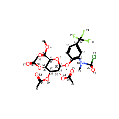 COC(=O)[C@H]1O[C@@H](Oc2ccc(C(F)(F)F)cc2N(C)C(=O)Cl)[C@H](OC(C)=O)[C@@H](OC(C)=O)[C@@H]1OC(C)=O